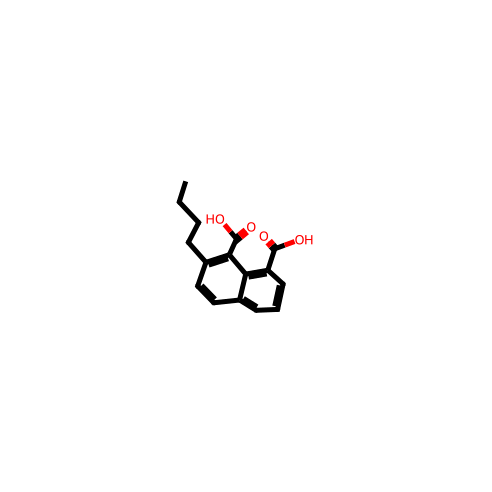 CCCCc1ccc2cccc(C(=O)O)c2c1C(=O)O